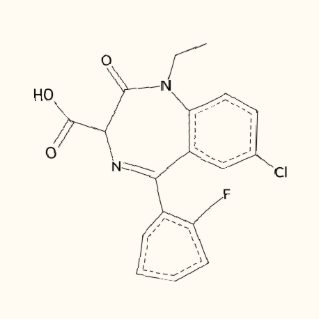 CCN1C(=O)C(C(=O)O)N=C(c2ccccc2F)c2cc(Cl)ccc21